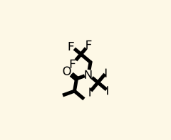 CC(C)C(=O)N(CC(F)(F)F)C(I)(I)I